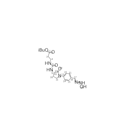 CC(C)COC(=O)CCNC(=O)N[C@H]1CCN(c2ccc(C=NNO)cc2)C1=O